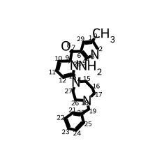 Cc1cnc(N)c(C(=O)c2cccc(N3CCCN(Cc4ccccc4)CC3)n2)c1